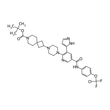 CC(C)(C)OC(=O)N1CCC2(CC1)CC(N1CCN(c3ncc(C(=O)Nc4ccc(OC(F)(F)Cl)cc4)cc3-c3ccn[nH]3)CC1)C2